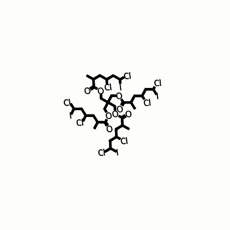 CC(CC(Cl)CC(Cl)I)C(=O)OCC(COC(=O)C(C)CC(Cl)CC(Cl)I)(COC(=O)C(C)CC(Cl)CC(Cl)I)COC(=O)C(C)CC(Cl)CC(Cl)I